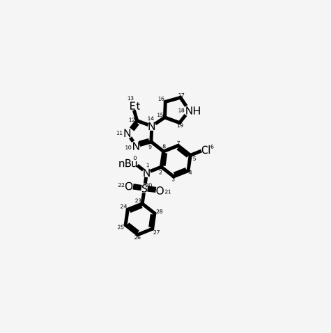 CCCCN(c1ccc(Cl)cc1-c1nnc(CC)n1C1CCNC1)S(=O)(=O)c1ccccc1